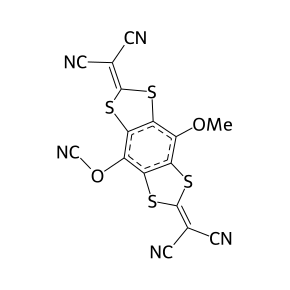 COc1c2c(c(OC#N)c3c1SC(=C(C#N)C#N)S3)SC(=C(C#N)C#N)S2